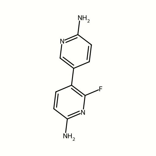 Nc1ccc(-c2ccc(N)nc2F)cn1